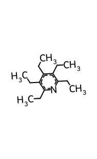 CCc1nc(CC)c(CC)c(CC)c1CC